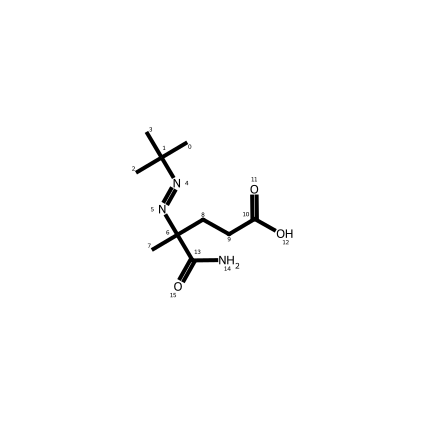 CC(C)(C)N=NC(C)(CCC(=O)O)C(N)=O